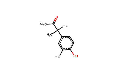 COC(=O)C(C)(c1ccc(O)c(C(C)(C)C)c1)C(C)(C)C